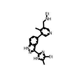 CCNCc1cncc(-c2ccc3[nH]nc(-c4nc(CC)c(C)[nH]4)c3c2)c1C